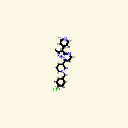 Cc1nn2c(C3CCCN(Cc4ccc(Cl)cc4)C3)ccnc2c1-c1ccncc1